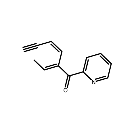 C#C/C=C\C(=C/C)C(=O)c1ccccn1